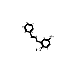 CCc1ccc(O)c(CC=Cc2ccccc2)c1